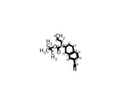 C=CCN(C(=O)OC(C)(C)C)C1CCc2ccc(C#N)cc2C1